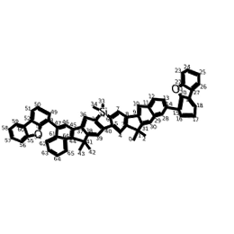 CC1(C)c2cc3c(cc2-c2cc4ccc(-c5cccc6c5oc5ccccc56)cc4cc21)[Si](C)(C)c1cc2c(cc1-3)C(C)(C)c1c-2cc(-c2cccc3c2oc2ccccc23)c2ccccc12